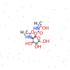 CC(=O)N[C@H]1[C@@H](OC(=O)NC(C)O)O[C@H](CO)[C@H](O)[C@@H]1O